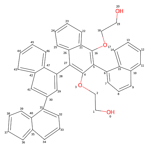 OCCOc1c(-c2cccc3ccccc23)c(OCCO)c2ccccc2c1-c1cc(-c2cccc3ccccc23)cc2ccccc12